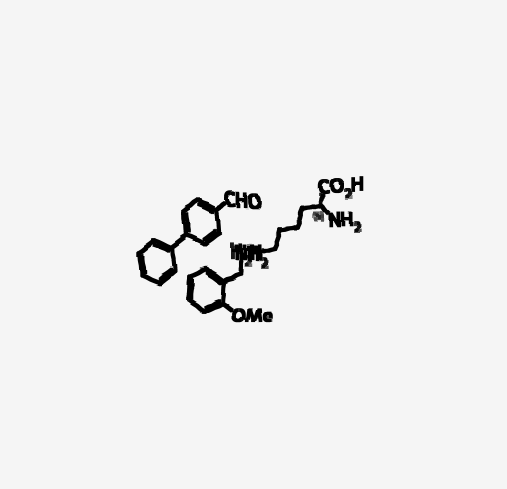 COc1ccccc1CN.NCCCC[C@H](N)C(=O)O.O=Cc1ccc(-c2ccccc2)cc1